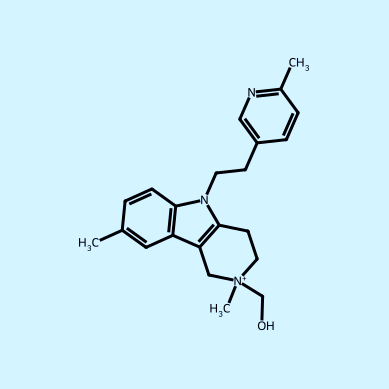 Cc1ccc2c(c1)c1c(n2CCc2ccc(C)nc2)CC[N+](C)(CO)C1